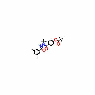 Cc1cc(C)cc(C(=O)N(C)N(C(=O)c2ccc(OC(=O)C(C)(C)C)cc2)C(C)(C)C)c1